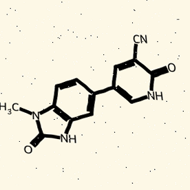 Cn1c(=O)[nH]c2cc(-c3c[nH]c(=O)c(C#N)c3)ccc21